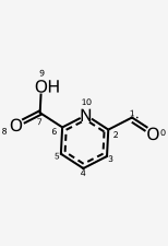 O=[C]c1cccc(C(=O)O)n1